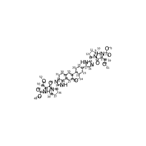 COC(=O)N[C@H](C(=O)N1[C@@H](C)CC[C@H]1c1ncc(-c2ccc3c(c2)COc2cc4c(ccc5nc([C@@H]6CC[C@H](C)N6C(=O)[C@@H](NC(=O)OC)[C@H](C)OC)[nH]c54)cc2-3)[nH]1)[C@H](C)OC